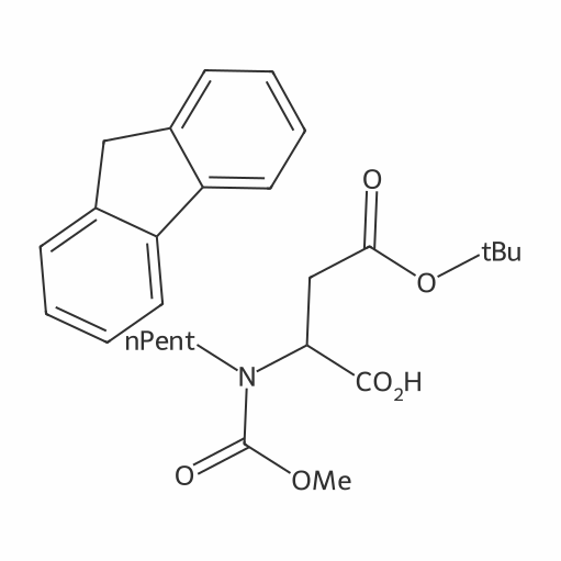 CCCCCN(C(=O)OC)C(CC(=O)OC(C)(C)C)C(=O)O.c1ccc2c(c1)Cc1ccccc1-2